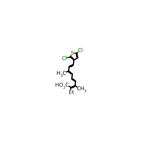 CCC(C(=O)O)=C(C)C=CC=C(C)C=Cc1cc(Cl)sc1Cl